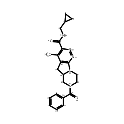 Cc1c(C(=O)NCC2CC2)nnc2c1CC1CN(C(=O)c3ccccc3)CCN21